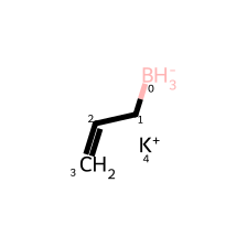 [BH3-]CC=C.[K+]